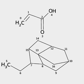 C=CC(=O)O.CCC1C2CC3CC(C2)CC1C3